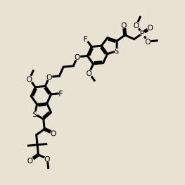 COC(=O)C(C)(C)CC(=O)c1cc2c(F)c(OCCCOc3c(OC)cc4sc(C(=O)CP(=O)(OC)OC)cc4c3F)c(OC)cc2s1